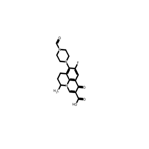 CC1CCc2c(N3CCN(C=O)CC3)c(F)cc3c(=O)c(C(=O)O)cn1c23